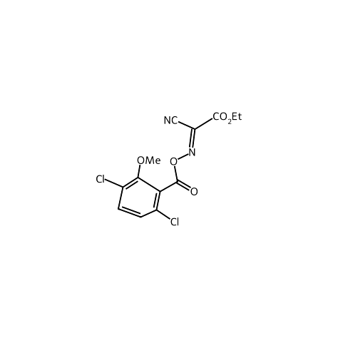 CCOC(=O)C(C#N)=NOC(=O)c1c(Cl)ccc(Cl)c1OC